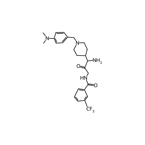 CN(C)c1ccc(CN2CCC(C(N)C(=O)CNC(=O)c3cccc(C(F)(F)F)c3)CC2)cc1